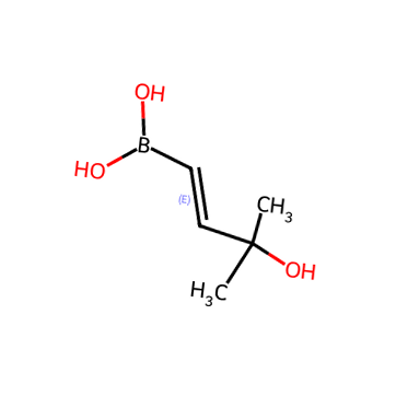 CC(C)(O)/C=C/B(O)O